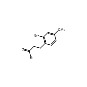 COc1ccc(CCC(=O)Br)c(Br)c1